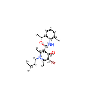 CCc1cccc(C)c1NC(=O)c1c(C)n(CCC(C)C)c(C)c(Br)c1=O